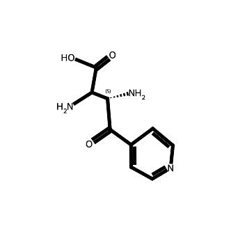 NC(C(=O)O)[C@H](N)C(=O)c1ccncc1